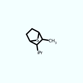 CC(C)C1C2CCC(S2)C1C